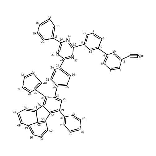 N#Cc1cccc(-c2cccc(-c3nc(-c4ccccc4)nc(-c4ccc(-c5cc(-c6ccccc6)c6c(c5-c5ccccc5)-c5cccc7cccc-6c57)cc4)n3)c2)c1